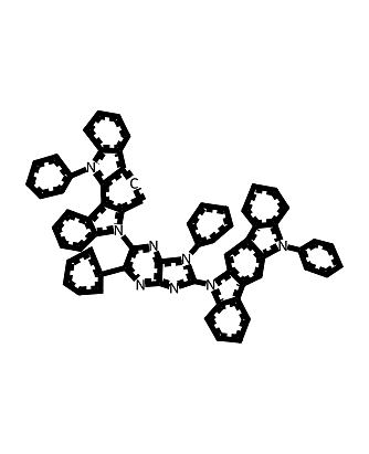 c1ccc(-c2nc3nc(-n4c5ccccc5c5cc6c(cc54)c4ccccc4n6-c4ccccc4)n(-c4ccccc4)c3nc2-n2c3ccccc3c3c2ccc2c4ccccc4n(-c4ccccc4)c23)cc1